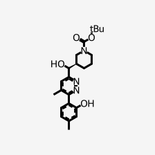 Cc1ccc(-c2nnc(C(O)[C@@H]3CCCN(C(=O)OC(C)(C)C)C3)cc2C)c(O)c1